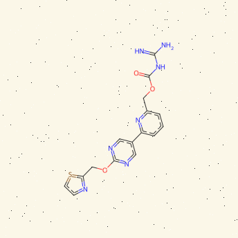 N=C(N)NC(=O)OCc1cccc(-c2cnc(OCc3nccs3)nc2)n1